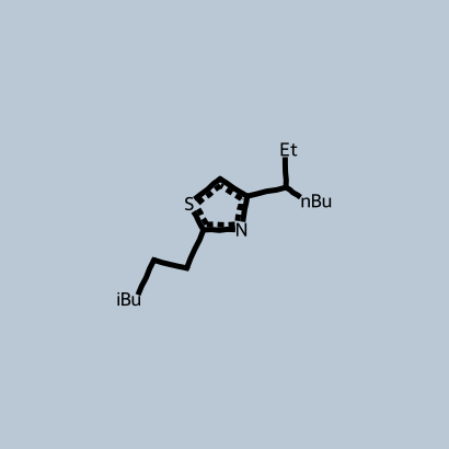 CCCCC(CC)c1csc(CCC(C)CC)n1